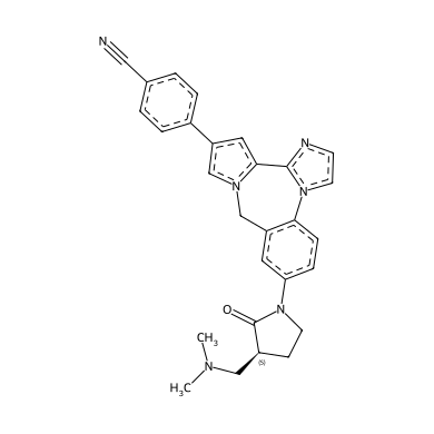 CN(C)C[C@@H]1CCN(c2ccc3c(c2)Cn2cc(-c4ccc(C#N)cc4)cc2-c2nccn2-3)C1=O